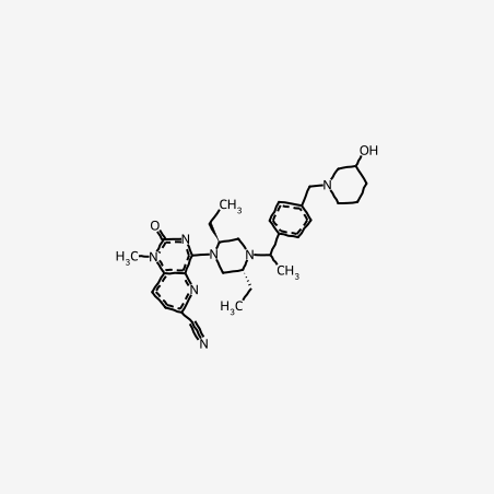 CC[C@H]1CN(C(C)c2ccc(CN3CCCC(O)C3)cc2)[C@H](CC)CN1c1nc(=O)n(C)c2ccc(C#N)nc12